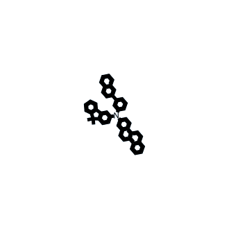 CC1(C)c2ccccc2-c2cc(N(c3cccc(-c4ccc5ccccc5c4)c3)c3ccc4c(ccc5c6ccccc6ccc45)c3)ccc21